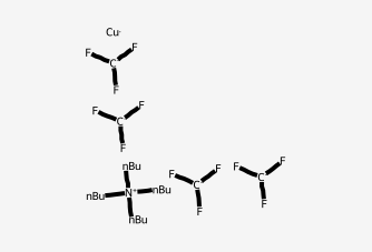 CCCC[N+](CCCC)(CCCC)CCCC.F[C-](F)F.F[C-](F)F.F[C-](F)F.F[C-](F)F.[Cu]